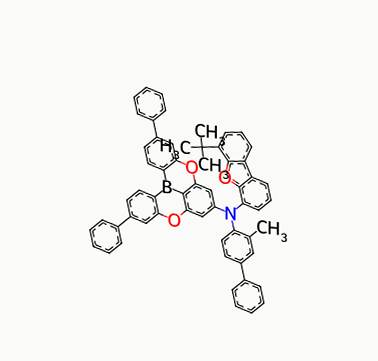 Cc1cc(-c2ccccc2)ccc1N(c1cc2c3c(c1)Oc1cc(-c4ccccc4)ccc1B3c1ccc(-c3ccccc3)cc1O2)c1cccc2c1oc1c(C(C)(C)C)cccc12